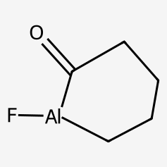 O=[C]1CCC[CH2][Al]1[F]